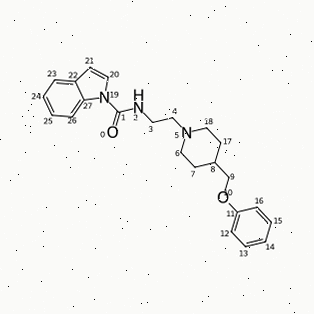 O=C(NCCN1CCC(COc2ccccc2)CC1)n1ccc2ccccc21